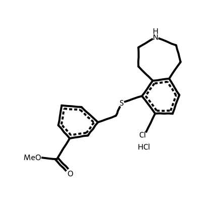 COC(=O)c1cccc(CSc2c(Cl)ccc3c2CCNCC3)c1.Cl